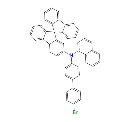 Brc1ccc(-c2ccc(N(c3ccc4c(c3)C3(c5ccccc5-c5ccccc53)c3ccccc3-4)c3cccc4ccccc34)cc2)cc1